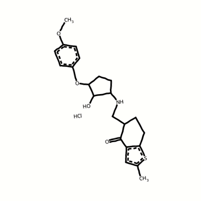 COc1ccc(OC2CCC(NCC3CCc4sc(C)cc4C3=O)C2O)cc1.Cl